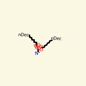 CCCCCCCCCCCCCCCCCC(=O)OP(=O)(OCC[N+](C)(C)C)OC(=O)CCCCCCCCCCCCCCCCC